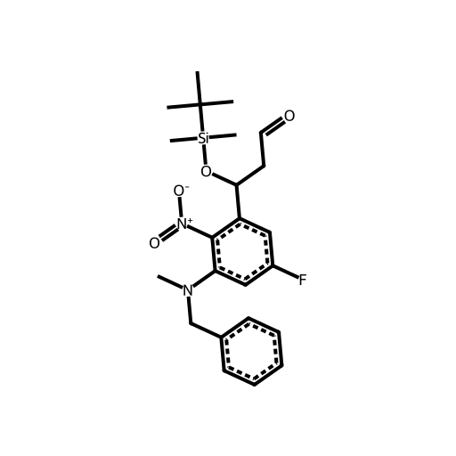 CN(Cc1ccccc1)c1cc(F)cc(C(CC=O)O[Si](C)(C)C(C)(C)C)c1[N+](=O)[O-]